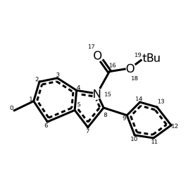 Cc1ccc2c(c1)cc(-c1ccccc1)n2C(=O)OC(C)(C)C